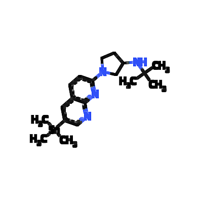 CC(C)(C)NC1CCN(c2ccc3c[c]([Sn]([CH3])([CH3])[CH3])cnc3n2)C1